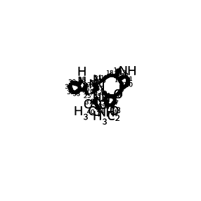 COc1ccc2c(c1)Oc1ccc3[nH]cc(c3c1)CCc1nnc([C@@H](Cc3c[nH]c4ccccc34)NC(=O)C(C)(C)N)n1C2